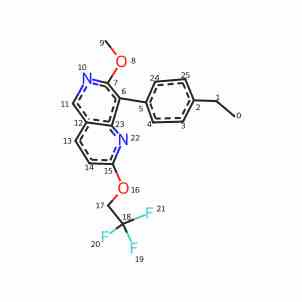 CCc1ccc(-c2c(OC)ncc3ccc(OCC(F)(F)F)nc23)cc1